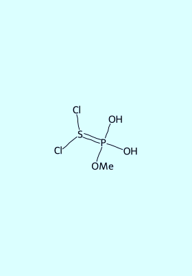 COP(O)(O)=S(Cl)Cl